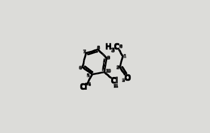 CCC=O.Clc1ccccc1Cl